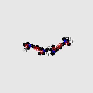 Cc1ccccc1N(c1ccc2cc3c(cc2c1)oc1c3ccc2c3cc4ccc(N(c5ccccc5C)c5cc(CC(C)c6ccc(N(c7ccc8cc9c(cc8c7)oc7c9ccc8c9cc%10ccc(N(c%11ccc(C(C)C)cc%11)c%11cccc%12c%11oc%11ccccc%11%12)cc%10cc9oc87)c7cccc8c7oc7ccccc78)cc6)cc6c5oc5ccccc56)cc4cc3oc21)c1cccc2c1oc1ccccc12